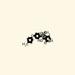 Cc1ccc(Oc2ccc(N(C(O)c3c(C)cc[nH]c3=O)S(C)(=O)=O)cc2)cc1